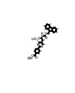 CC(C)(C)OC(=O)c1ccc(-c2ncc(C[C@H](NC(=O)OCC3c4ccccc4-c4ccccc43)C(=O)O)cn2)cc1